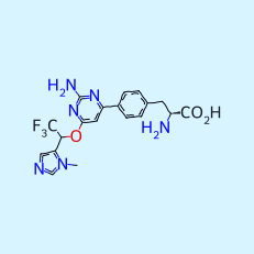 Cn1cncc1C(Oc1cc(-c2ccc(C[C@H](N)C(=O)O)cc2)nc(N)n1)C(F)(F)F